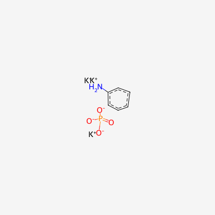 Nc1ccccc1.O=P([O-])([O-])[O-].[K+].[K+].[K+]